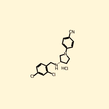 Cl.N#Cc1ccc(N2CC[C@H](NCc3ccc(Cl)cc3Cl)C2)cc1